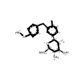 CCCCOc1ccc(Cc2cc([C@@H]3O[C@H](SC)[C@@H](OC(C)=O)[C@H](OC(C)=O)[C@H]3C)ccc2C)cc1